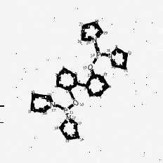 c1ccc(-c2ccccc2OP(n2cccc2)n2cccc2)c(OP(n2cccc2)n2cccc2)c1